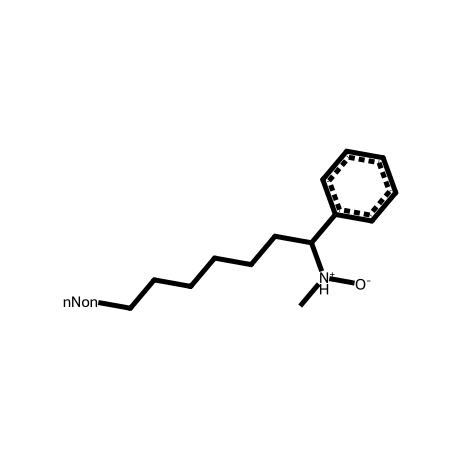 CCCCCCCCCCCCCCCC(c1ccccc1)[NH+](C)[O-]